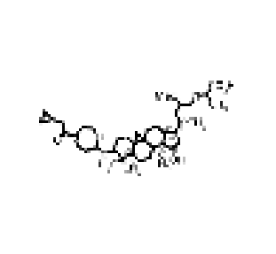 COC(CNC(C)C(=O)O)C[C@@H](C)[C@H]1C[C@H](O)[C@@]2(C)C3CC[C@H]4C(C)(C)C(OC5CCN(C(=O)CC6CC6)CCO5)CCC45CC35CCC12C